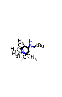 CN1C(C)(C)CC(NCC(C)(C)C)CC1(C)C